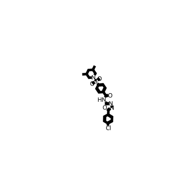 CC1CC(C)CN(S(=O)(=O)c2ccc(C(=O)Nc3nnc(-c4ccc(Cl)cc4)o3)cc2)C1